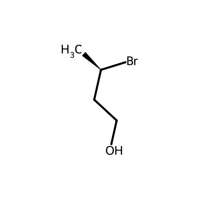 C[C@@H](Br)CCO